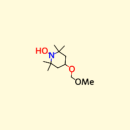 COCOC1CC(C)(C)N(O)C(C)(C)C1